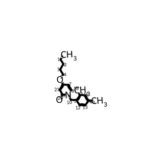 CCCCCOc1ccn(Cc2ccc(C)cc2C)c(=O)c1